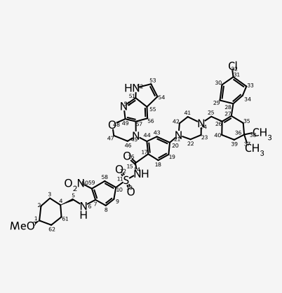 CO[C@H]1CC[C@@H](CNc2ccc(S(=O)(=O)NC(=O)c3ccc(N4CCN(CC5=C(c6ccc(Cl)cc6)CC(C)(C)CC5)CC4)cc3N3CCOc4nc5[nH]ccc5cc43)cc2[N+](=O)[O-])CC1